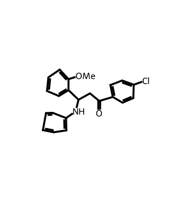 COc1ccccc1C(CC(=O)c1ccc(Cl)cc1)Nc1ccccc1